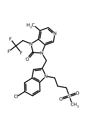 Cc1cncc2c1n(CC(F)(F)F)c(=O)n2Cc1cc2cc(Cl)ccc2n1CCCS(C)(=O)=O